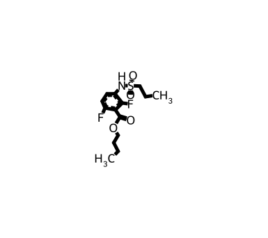 CCCCOC(=O)c1c(F)ccc(NS(=O)(=O)CCC)c1F